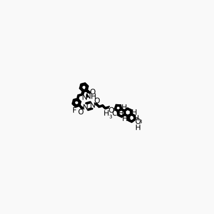 C[C@@]12CCC(O)C[C@H]1CC[C@H]1[C@H]2CC[C@]2(C)[C@@H]1CC[C@H]2OCCCCC(=O)N1CCN(C(=O)c2cc(Cc3n[nH]c(=O)c4ccccc34)ccc2F)CC1